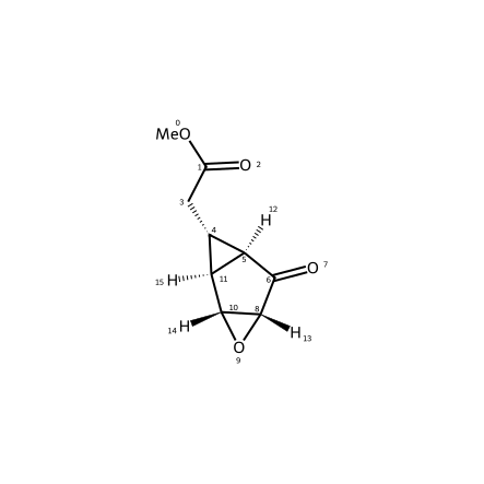 COC(=O)C[C@@H]1[C@H]2C(=O)[C@@H]3O[C@@H]3[C@@H]12